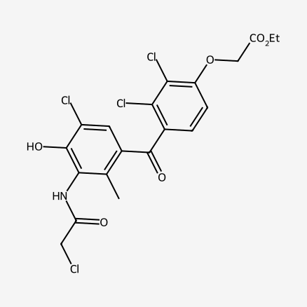 CCOC(=O)COc1ccc(C(=O)c2cc(Cl)c(O)c(NC(=O)CCl)c2C)c(Cl)c1Cl